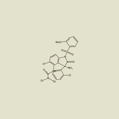 CCN(CC)C(=O)Nc1c(Cl)ccc2c1C(N)(c1ccccc1Cl)C(=O)N2S(=O)(=O)c1ccccc1OC